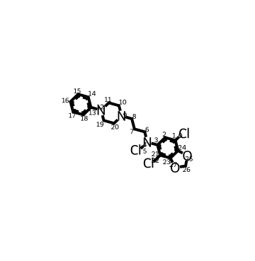 Clc1cc(N(Cl)CCCN2CCN(c3ccccc3)CC2)c(Cl)c2c1OCO2